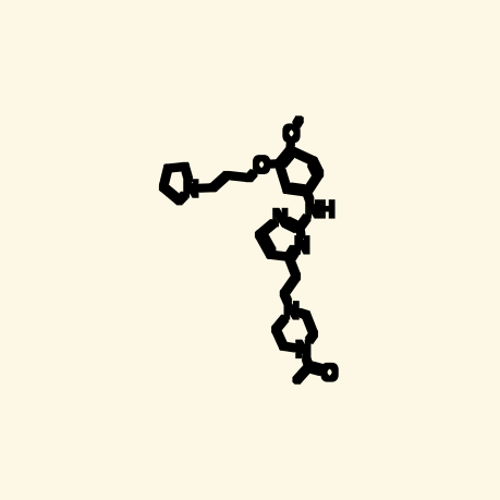 COc1ccc(Nc2nccc(CCN3CCN(C(C)=O)CC3)n2)cc1OCCCN1CCCC1